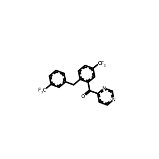 O=C(c1ccncn1)c1cc(C(F)(F)F)ccc1Cc1cccc(C(F)(F)F)c1